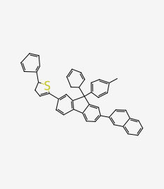 Cc1ccc(C2(C3C=CC=CC3)c3cc(C4=CCC(c5ccccc5)S4)ccc3-c3ccc(-c4ccc5ccccc5c4)cc32)cc1